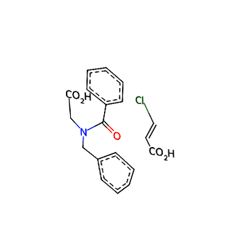 O=C(O)C=CCl.O=C(O)CN(Cc1ccccc1)C(=O)c1ccccc1